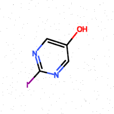 Oc1cnc(I)nc1